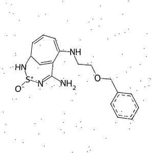 NC1=N[S+]([O-])NC2C=CC=C(NCCOCc3ccccc3)C1=C2